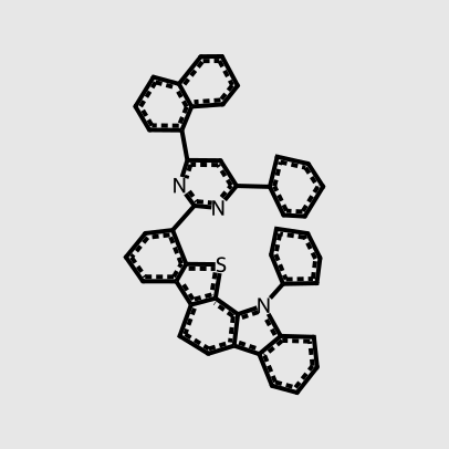 c1ccc(-c2cc(-c3cccc4ccccc34)nc(-c3cccc4c3sc3c4ccc4c5ccccc5n(-c5ccccc5)c43)n2)cc1